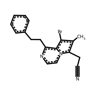 Cc1c(Br)c2c(CCc3ccccc3)nccn2c1CC#N